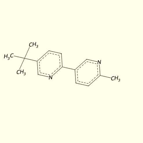 Cc1ccc(-c2ccc(C(C)(C)C)cn2)cn1